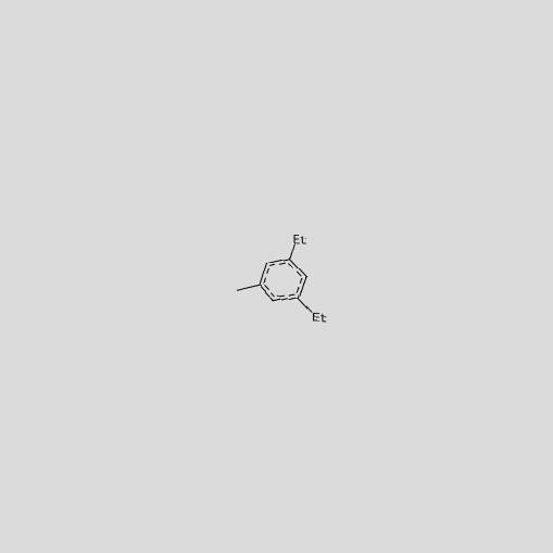 CCc1cc(C)cc(CC)c1